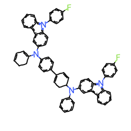 Fc1ccc(-n2c3ccccc3c3cc(N(C4=CC=CCC4)c4ccc(C5=CCC(N(c6ccccc6)c6ccc7c(c6)c6ccccc6n7-c6ccc(F)cc6)C=C5)cc4)ccc32)cc1